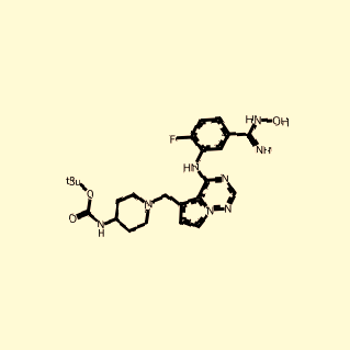 CC(C)(C)OC(=O)NC1CCN(Cc2ccn3ncnc(Nc4cc(C(=N)NO)ccc4F)c23)CC1